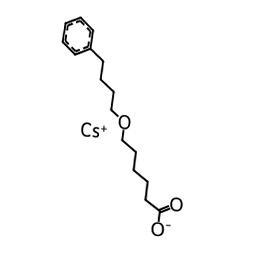 O=C([O-])CCCCCOCCCCc1ccccc1.[Cs+]